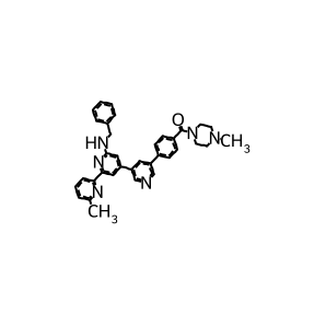 Cc1cccc(-c2cc(-c3cncc(-c4ccc(C(=O)N5CCN(C)CC5)cc4)c3)cc(NCc3ccccc3)n2)n1